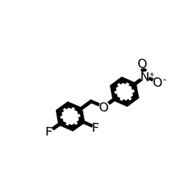 O=[N+]([O-])c1ccc(OCc2ccc(F)cc2F)cc1